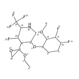 CCOC1(C2C(OC3CCC(F)C(F)C3OC)CNC(C(F)(F)F)C2F)CO1